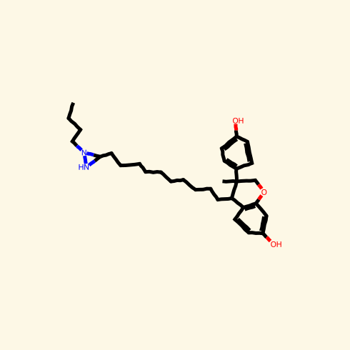 CCCCN1NC1CCCCCCCCCCC1c2ccc(O)cc2OCC1(C)c1ccc(O)cc1